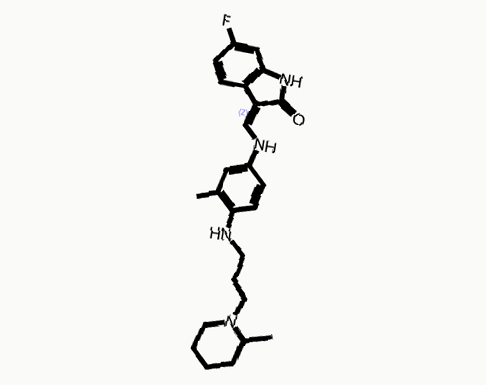 Cc1cc(N/C=C2\C(=O)Nc3cc(F)ccc32)ccc1NCCCN1CCCCC1C